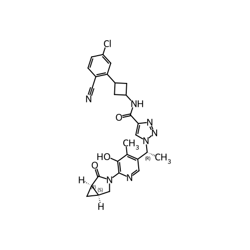 Cc1c([C@@H](C)n2cc(C(=O)NC3CC(c4cc(Cl)ccc4C#N)C3)nn2)cnc(N2C[C@H]3C[C@H]3C2=O)c1O